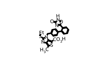 CCSc1nc2c(C)sc(C(=O)O)c2n1Cc1ccc(-c2ccccc2-c2nc(=O)[nH]o2)cc1